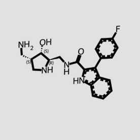 NC[C@H]1CN[C@H](CNC(=O)c2[nH]c3ccccc3c2-c2ccc(F)cc2)[C@H]1O